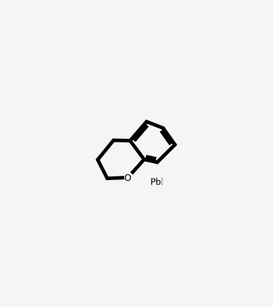 [Pb].c1ccc2c(c1)CCCO2